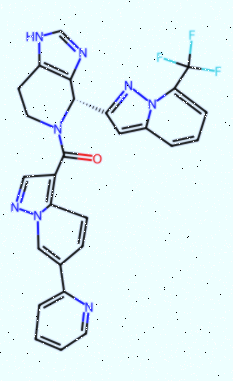 O=C(c1cnn2cc(-c3ccccn3)ccc12)N1CCc2[nH]cnc2[C@@H]1c1cc2cccc(C(F)(F)F)n2n1